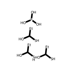 CCC(O)S.CCC(O)S.CCC(O)S.OP(O)O